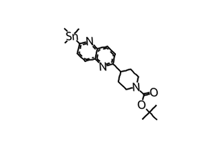 CC(C)(C)OC(=O)N1CCC(c2ccc3n[c]([Sn]([CH3])([CH3])[CH3])ccc3n2)CC1